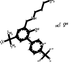 CC(C)(C)c1cc(CNCCCN)c(O)c(-c2ccc(C(F)(F)F)nc2)c1.Cl.Cl